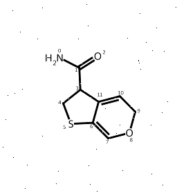 NC(=O)C1CSC2=COCC=C21